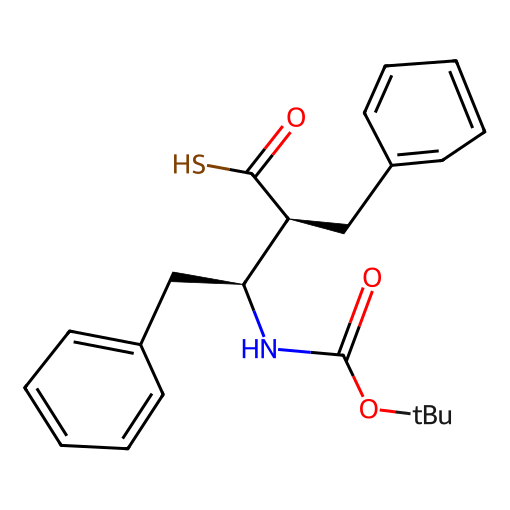 CC(C)(C)OC(=O)N[C@@H](Cc1ccccc1)[C@H](Cc1ccccc1)C(=O)S